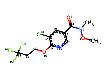 CON(C)C(=O)c1cnc(OCCC(F)(F)F)c(Cl)c1